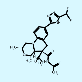 CC(=O)NC(=O)[C@]1(C(C)=O)Cc2cc(-c3nnc(C(F)F)[nH]3)ccc2N2C[C@@H](C)O[C@@H](C)[C@@H]21